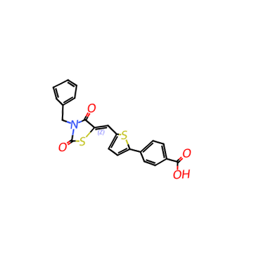 O=C(O)c1ccc(-c2ccc(/C=C3\SC(=O)N(Cc4ccccc4)C3=O)s2)cc1